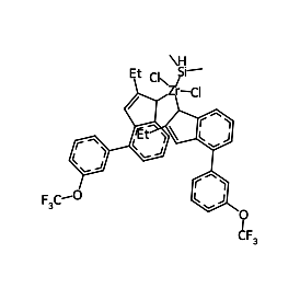 CCC1=Cc2c(-c3cccc(OC(F)(F)F)c3)cccc2[CH]1[Zr]([Cl])([Cl])([CH]1C(CC)=Cc2c(-c3cccc(OC(F)(F)F)c3)cccc21)[SiH](C)C